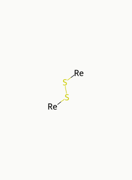 [Re][S][S][Re]